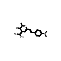 CC1OC(C=Cc2ccc(N(C)C)cc2)=CC(=C(C#N)C#N)C1=O